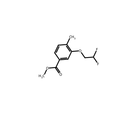 COC(=O)c1ccc(C)c(OCC(F)F)c1